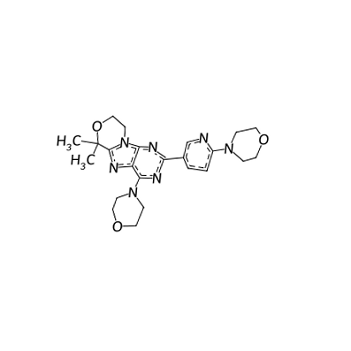 CC1(C)OCCn2c1nc1c(N3CCOCC3)nc(-c3ccc(N4CCOCC4)nc3)nc12